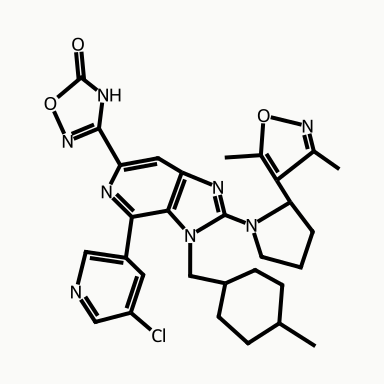 Cc1noc(C)c1C1CCCN1c1nc2cc(-c3noc(=O)[nH]3)nc(-c3cncc(Cl)c3)c2n1CC1CCC(C)CC1